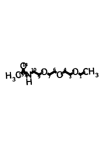 CCOCCOCCOCCNC(C)=O